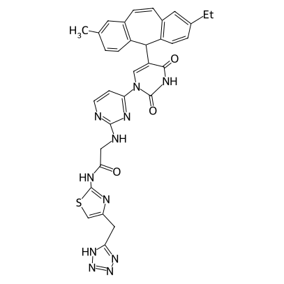 CCc1ccc2c(c1)C=Cc1cc(C)ccc1C2c1cn(-c2ccnc(NCC(=O)Nc3nc(Cc4nnn[nH]4)cs3)n2)c(=O)[nH]c1=O